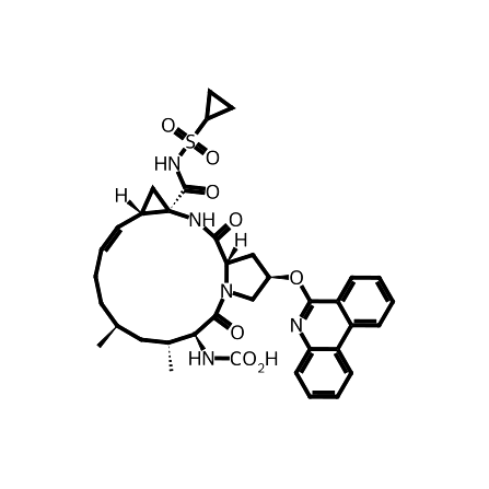 C[C@H]1CC/C=C\[C@@H]2C[C@@]2(C(=O)NS(=O)(=O)C2CC2)NC(=O)[C@@H]2C[C@@H](Oc3nc4ccccc4c4ccccc34)CN2C(=O)[C@@H](NC(=O)O)[C@H](C)C1